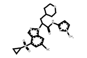 [C-]#[N+]c1cc(S(=O)(=O)C2CC2)c2cnn(C(CC3CCOCC3)C(=O)Nc3ccn(C)n3)c2c1